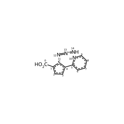 O=C(O)c1ccc(-c2ccccn2)s1.[N-]=[N+]=N